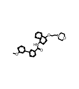 COc1cccc(-c2cccc(C(=O)Nc3ccc(OCCN4CCOCC4)c4ccccc34)c2)c1